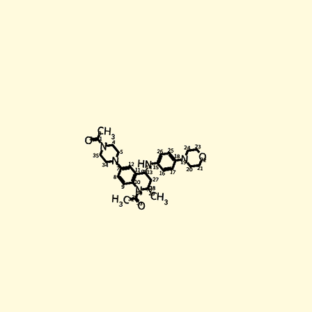 CC(=O)N1CCN(c2ccc3c(c2)[C@H](Nc2ccc(N4CCOCC4)cc2)C[C@H](C)N3C(C)=O)CC1